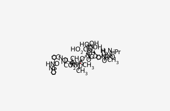 Cc1c(-c2ccc(N3CCc4cccc(C(=O)Nc5nc6ccccc6s5)c4C3)nc2C(=O)O)cnn1CC12CC3(C)CC(C)(C1)CC(OCCN(C)C(=O)OCc1ccc(NC(=O)[C@H](C)NC(=O)[C@@H](N)C(C)C)cc1C#C[C@@H]1O[C@H](C(=O)O)[C@@H](O)[C@H](O)[C@H]1O)(C3)C2